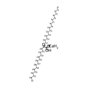 CCCCCCCCCCCCCCCCCCOC(CCCCCCCCCCCCCCCC)C(=O)O.[CaH2]